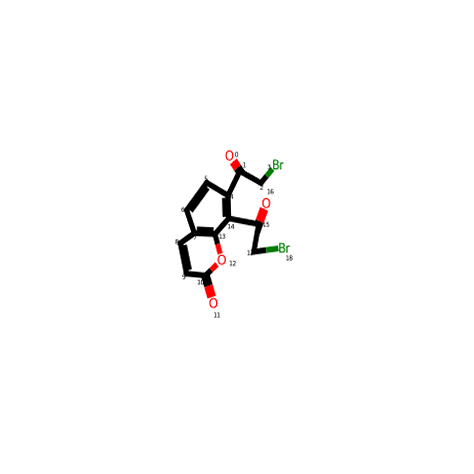 O=C(CBr)c1ccc2ccc(=O)oc2c1C(=O)CBr